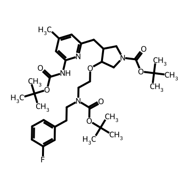 Cc1cc(CC2CN(C(=O)OC(C)(C)C)CC2OCCN(CCc2cccc(F)c2)C(=O)OC(C)(C)C)nc(NC(=O)OC(C)(C)C)c1